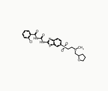 CN(CCS(=O)(=O)c1ccc2nc(NC(=O)NC(=O)c3ccccc3Cl)sc2c1)CC1CCCO1